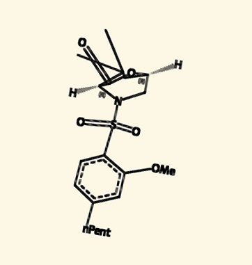 CCCCCc1ccc(S(=O)(=O)N2C[C@H]3CC(C)(C)[C@@H]2C(=O)O3)c(OC)c1